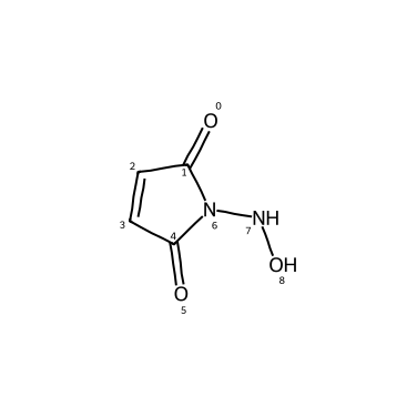 O=C1C=CC(=O)N1NO